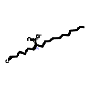 CCCCCCCCCCC/C(=C/CCCC[C]=O)[N+](=O)[O-]